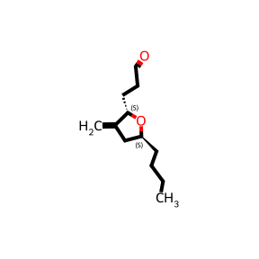 C=C1C[C@H](CCCC)O[C@H]1CCC=O